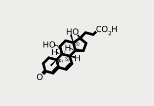 C[C@]12CCC(=O)C=C1C=C[C@@H]1[C@@H]2[C@H](O)C[C@@]2(C)[C@H]1CC[C@@]2(O)CCC(=O)O